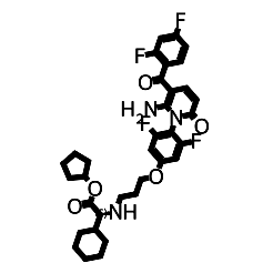 Nc1c(C(=O)c2ccc(F)cc2F)ccc(=O)n1-c1c(F)cc(OCCCN[C@H](C(=O)OC2CCCC2)C2CCCCC2)cc1F